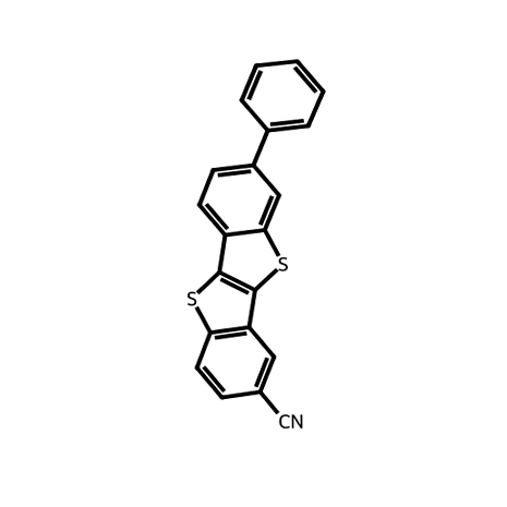 N#Cc1ccc2sc3c4ccc(-c5ccccc5)cc4sc3c2c1